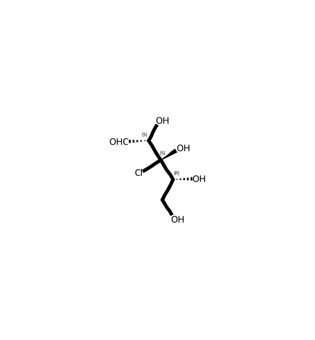 O=C[C@H](O)[C@@](O)(Cl)[C@H](O)CO